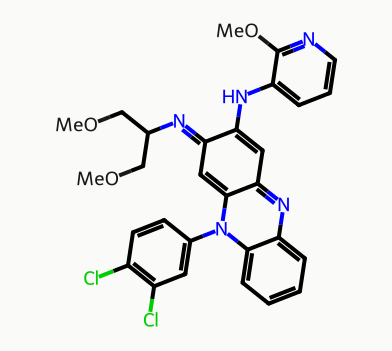 COCC(COC)/N=c1\cc2n(-c3ccc(Cl)c(Cl)c3)c3ccccc3nc-2cc1Nc1cccnc1OC